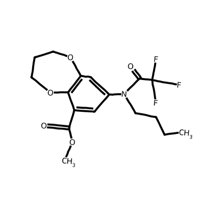 CCCCN(C(=O)C(F)(F)F)c1cc2c(c(C(=O)OC)c1)OCCCO2